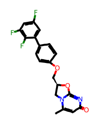 Cc1cc(=O)nc2n1C[C@@H](COc1ccc(-c3cc(F)cc(F)c3F)cc1)O2